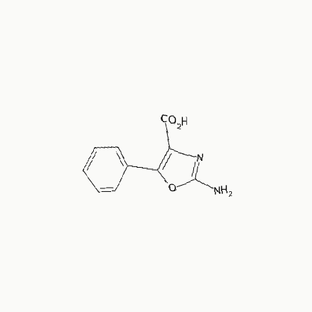 Nc1nc(C(=O)O)c(-c2ccccc2)o1